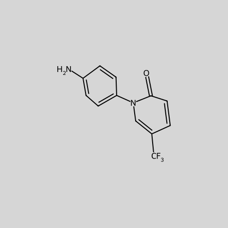 Nc1ccc(-n2cc(C(F)(F)F)ccc2=O)cc1